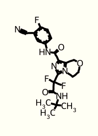 CC(C)(C)NC(=O)C(F)(F)c1nc(C(=O)Nc2ccc(F)c(C#N)c2)c2n1CCOC2